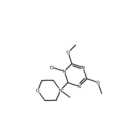 COC1=NC([N+]2(C)CCOCC2)N(Cl)C(OC)=N1